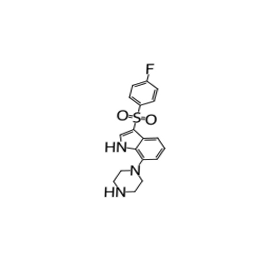 O=S(=O)(c1ccc(F)cc1)c1c[nH]c2c(N3CCNCC3)cccc12